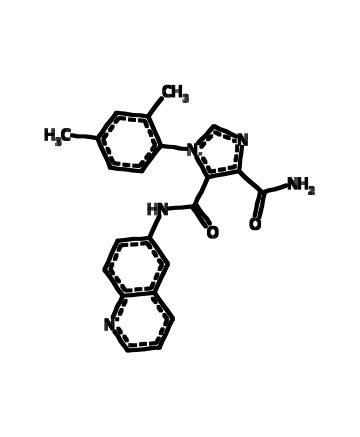 Cc1ccc(-n2cnc(C(N)=O)c2C(=O)Nc2ccc3ncccc3c2)c(C)c1